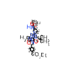 CCOC(=O)c1ccc(CCn2c(=O)c3c(nc(N4CCC[C@H](NC(=O)OC(C)(C)C)C4)n3CC=C(C)C)n(C)c2=O)cc1